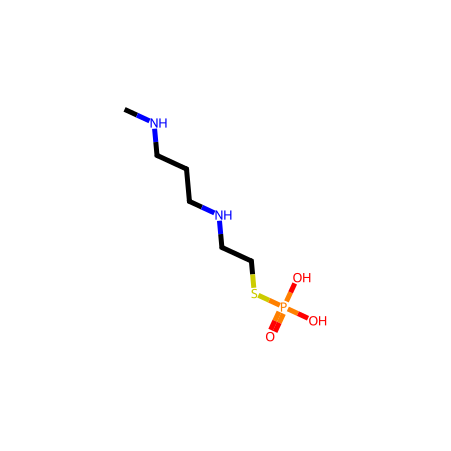 CNCCCNCCSP(=O)(O)O